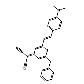 CN(C)c1ccc(C=CC2=CC(=C(C#N)C#N)C=C(Cc3ccccc3)S2)cc1